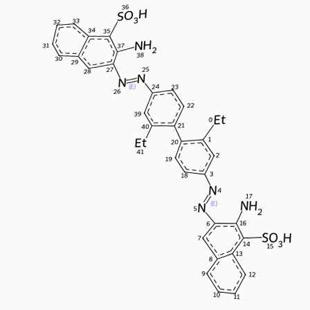 CCc1cc(/N=N/c2cc3ccccc3c(S(=O)(=O)O)c2N)ccc1-c1ccc(/N=N/c2cc3ccccc3c(S(=O)(=O)O)c2N)cc1CC